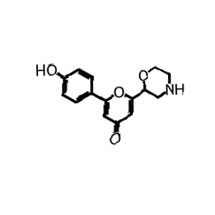 O=c1cc(-c2ccc(O)cc2)oc(C2CNCCO2)c1